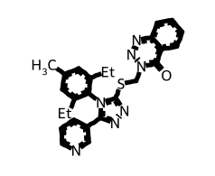 CCc1cc(C)cc(CC)c1-n1c(SCn2nnc3ccccc3c2=O)nnc1-c1cccnc1